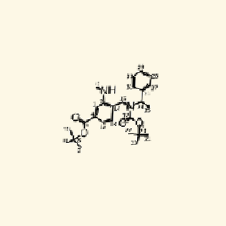 CNc1cc(C(=O)OC(C)(C)C)ccc1CN(C(=O)OC(C)(C)C)C(C)c1ccccc1